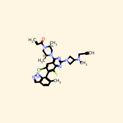 C#CCN(C)C1CN(c2nc(N3C[C@@H](C)N(C(=O)C=C)C[C@@H]3C)c3cc(Cl)c(-c4c(C)ccc5cn[nH]c45)c(F)c3n2)C1